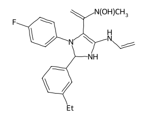 C=CNC1=C(C(=C)N(C)O)N(c2ccc(F)cc2)C(c2cccc(CC)c2)N1